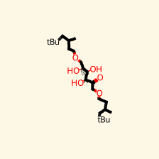 CC(CCOCC(=O)[C@H](O)[C@@H](O)[C@H](O)COCCC(C)CC(C)(C)C)CC(C)(C)C